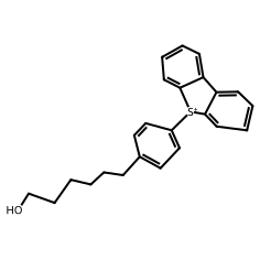 OCCCCCCc1ccc(-[s+]2c3ccccc3c3ccccc32)cc1